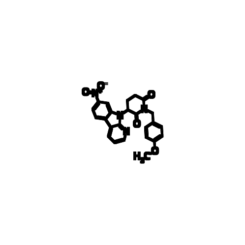 COc1ccc(CN2C(=O)CCC(n3c4cc([N+](=O)[O-])ccc4c4cccnc43)C2=O)cc1